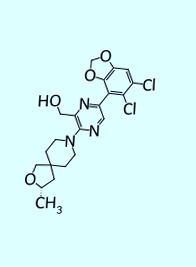 C[C@H]1CC2(CCN(c3ncc(-c4c(Cl)c(Cl)cc5c4OCO5)nc3CO)CC2)CO1